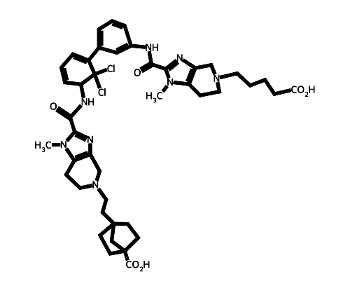 Cn1c(C(=O)Nc2cccc(C3=CC=CC(NC(=O)c4nc5c(n4C)CCN(CCC46CCC(C(=O)O)(CC4)C6)C5)C3(Cl)Cl)c2)nc2c1CCN(CCCCC(=O)O)C2